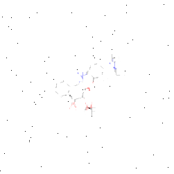 CCN(CC)c1ccc2nc3c4ccccc4c(=O)c(OC(F)(F)F)c-3oc2c1